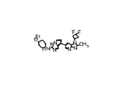 CCO[C@H]1CC[C@@H](Nc2ncc3c(-c4cnc5nc(C)n(C6CC(F)(F)C6)c5c4)ccn3n2)CC1